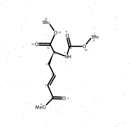 COC(=O)/C=C/C[C@H](NC(=O)OC(C)(C)C)C(=O)OC(C)(C)C